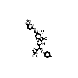 Nc1nc(C(=NOc2ccc(F)cc2)C(=O)NC2C(=O)N3CC(CSc4ccc5nnnn5n4)(C(=O)O)CS[C@H]23)ns1